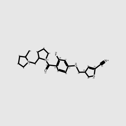 CC1CCCN1CC1CCCN1C(=O)c1ccc(OCC2C=C(C#N)SC2)cc1F